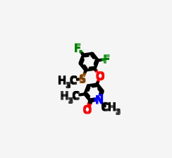 CSc1cc(F)cc(F)c1Oc1cc(C)c(=O)n(C)c1